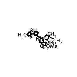 C=CCOC1(C)CCN(c2c(C(OC(C)(C)C)C(=O)OC)c(C)cc3nc(-c4cccc(-c5c(O)cc(C)cc5F)c4)cn23)CC1